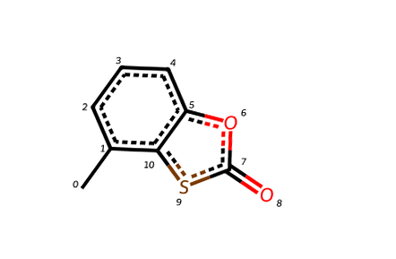 Cc1cccc2oc(=O)sc12